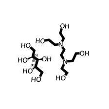 OCCN(CCO)CCN(CCO)CCO.OC[C@@H](O)[C@H](O)[C@@H](O)CO